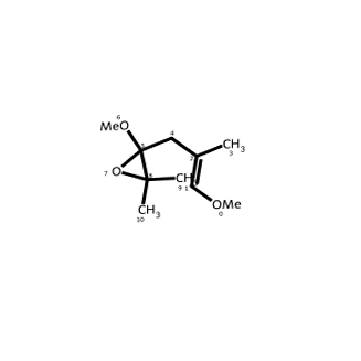 COC=C(C)CC1(OC)OC1(C)C